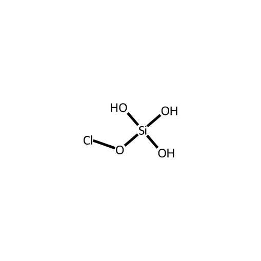 O[Si](O)(O)OCl